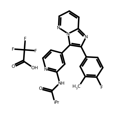 Cc1cc(-c2nc3cccnn3c2-c2ccnc(NC(=O)C(C)C)c2)ccc1F.O=C(O)C(F)(F)F